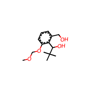 COCOc1cccc(CO)c1C(O)C(C)(C)C